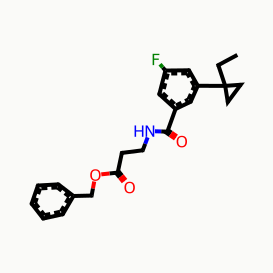 CCC1(c2cc(F)cc(C(=O)NCCC(=O)OCc3ccccc3)c2)CC1